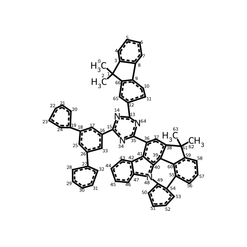 CC1(C)c2ccccc2-c2ccc(-c3nc(-c4cc(-c5ccccc5)cc(-c5ccccc5)c4)nc(-c4cc5c6c7c4c4ccccc4n7-c4ccccc4-c4cccc(c4-6)C5(C)C)n3)cc21